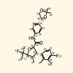 Cc1c([C@@H]2[C@@H](C)[C@@](C)(C(F)(F)F)O[C@H]2C(=O)Nc2ccc([C@@H]3COC(C)(C)O3)nc2)ccc(F)c1F